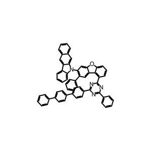 c1ccc(-c2ccc(-c3ccc(-c4nc(-c5ccccc5)nc(-c5cccc6oc7cc(-n8c9ccccc9c9cc%10ccccc%10cc98)c(-c8ccccc8)cc7c56)n4)cc3)cc2)cc1